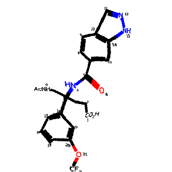 CC(=O)NC(CC(=O)O)(NC(=O)c1ccc2cn[nH]c2c1)c1cccc(OC(F)(F)F)c1